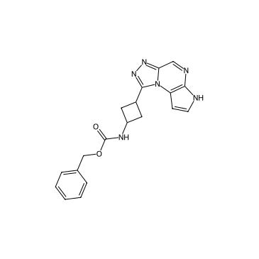 O=C(NC1CC(c2nnc3cnc4[nH]ccc4n23)C1)OCc1ccccc1